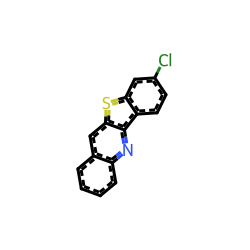 Clc1ccc2c(c1)sc1cc3ccccc3nc12